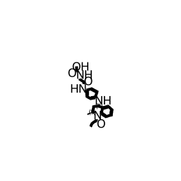 CCC(=O)N1c2ccccc2[C@H](Nc2ccc(NC(=O)CNC(=O)O)cc2)C[C@@H]1C